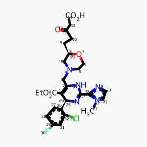 CCOC(=O)C1=C(CN2CCO[C@H](CCC(=O)CC(=O)O)C2)NC(c2nccn2C)=N[C@H]1c1ccc(F)cc1Cl